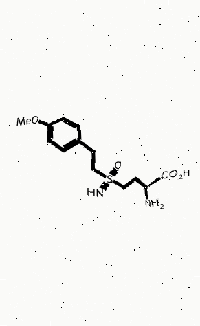 COc1ccc(CCS(=N)(=O)CC[C@H](N)C(=O)O)cc1